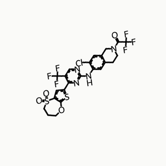 O=C(N1CCc2cc(Nc3ncc(C(F)(F)F)c(-c4cc5c(s4)OCCCS5(=O)=O)n3)c(Cl)cc2C1)C(F)(F)F